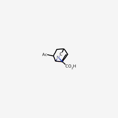 CC(=O)C1CC2C=CC1N(C(=O)O)C2